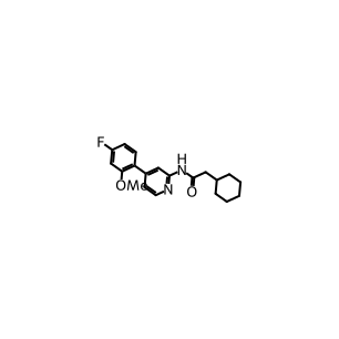 COc1cc(F)ccc1-c1ccnc(NC(=O)CC2CCCCC2)c1